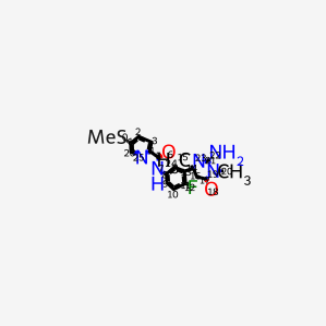 CSc1ccc(C(=O)Nc2ccc(F)c(C3(C)CC(=O)N(C)C(N)=N3)c2)nc1